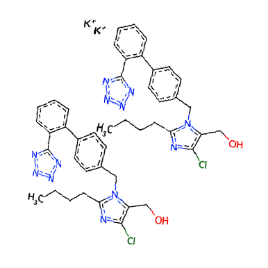 CCCCc1nc(Cl)c(CO)n1Cc1ccc(-c2ccccc2-c2nnn[n-]2)cc1.CCCCc1nc(Cl)c(CO)n1Cc1ccc(-c2ccccc2-c2nnn[n-]2)cc1.[K+].[K+]